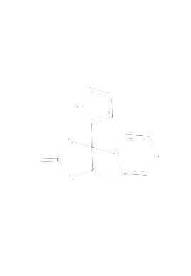 O=C1NC(=O)C2(N1)c1ccccc1-c1sccc12